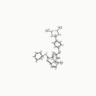 CCN1N=NC(=S)[N+]1(NC(=O)Oc1ccc(N(CCCl)CCCl)cc1)C(=O)OCc1ccccc1